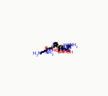 NCCCC[C@H](N)C(=O)NCCSCc1ncccc1SC1=C(C(=O)O)N2C(=O)[C@@H](NC(=O)/C(=N\O)c3nsc(N)n3)[C@@H]2SC1